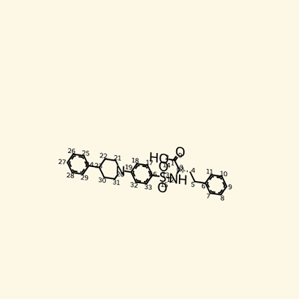 O=C(O)[C@H](CCc1ccccc1)NS(=O)(=O)c1ccc(N2CCC(c3ccccc3)CC2)cc1